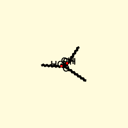 CCCCCCCCCCCCCOC(CCCCCCCCCCCCC)(CCCCCCCCCCCCC)C(CO)(CO)CO